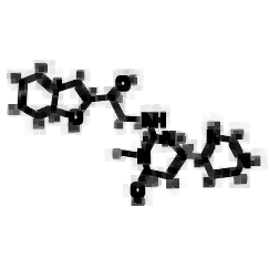 Cn1c(NCC(=O)c2cc3ccccc3o2)nc(-c2ccncn2)cc1=O